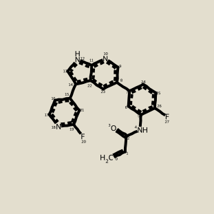 C=CC(=O)Nc1cc(-c2cnc3[nH]cc(-c4ccnc(F)c4)c3c2)ccc1F